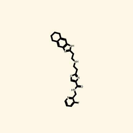 O=C(NCc1ncccc1F)c1coc(CCNCCc2nc3cc4c(cc3[nH]2)CCCC4)n1